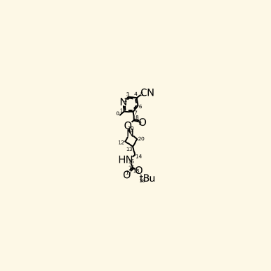 Cc1ncc(C#N)cc1C(=O)ON1CC(CNC(=O)OC(C)(C)C)C1